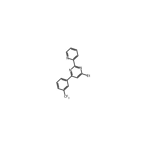 CCc1cc(-c2cccc(C(F)(F)F)c2)nc(-c2ccccn2)n1